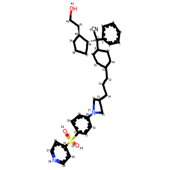 N#CC(c1ccccc1)(C1CCC(CCCC2CN(c3ccc(S(=O)(=O)c4ccncc4)cc3)C2)CC1)[C@@H]1CCC[C@H]1CCO